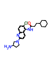 NC1CCN(c2ccc3c(NC(=O)CCC4CCCCC4)c(Cl)ccc3n2)C1